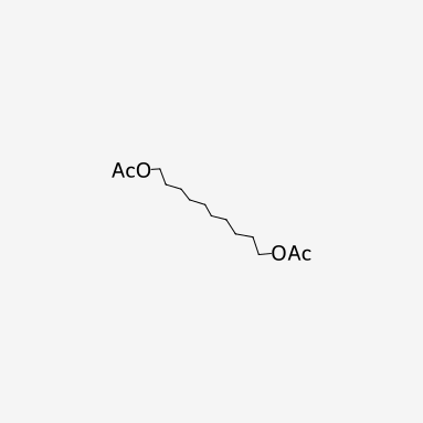 CC(=O)OCCCCCCCCCCOC(C)=O